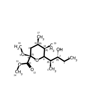 CC[C@@H](O)[C@@H](C)C1O[C@](OC)(C(=O)OC)C[C@@H](C)[C@H]1C